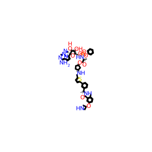 Cc1ccc(OC2CNC2)cc1C(=O)N[C@H](C)c1cccc(-c2ccc(CN[C@H]3CC[C@@H](OC(=O)[C@H](C)NP(=O)(OC[C@H]4O[C@@](C#N)(c5ccc6c(N)ncnn56)[C@H](O)[C@@H]4O)Oc4ccccc4)C3)s2)c1